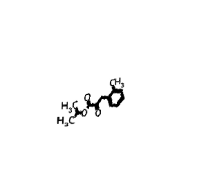 Cc1ccccc1CC(=O)C(=O)OC(C)C